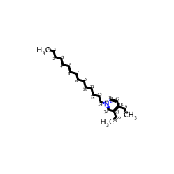 CCCCCCCCCCCCCCC[n+]1ccc(CC)c(CC)c1